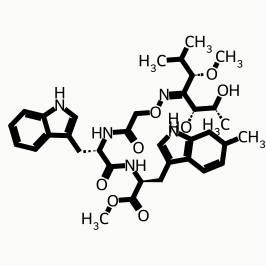 COC(=O)[C@H](Cc1c[nH]c2c1C=CC(C)C2)NC(=O)[C@H](Cc1c[nH]c2ccccc12)NC(=O)CO/N=C(/[C@@H](OC)C(C)C)[C@@H](O)[C@@H](C)O